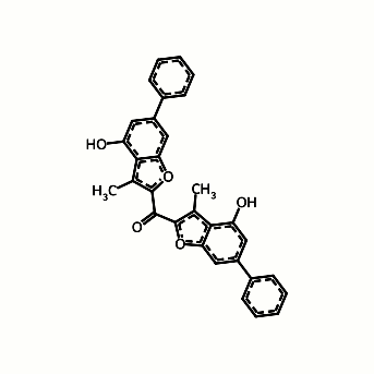 Cc1c(C(=O)c2oc3cc(-c4ccccc4)cc(O)c3c2C)oc2cc(-c3ccccc3)cc(O)c12